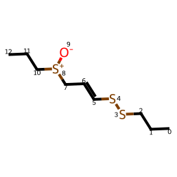 CCCSSC=CC[S+]([O-])CCC